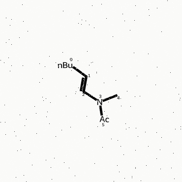 CCCCC=CN(C)C(C)=O